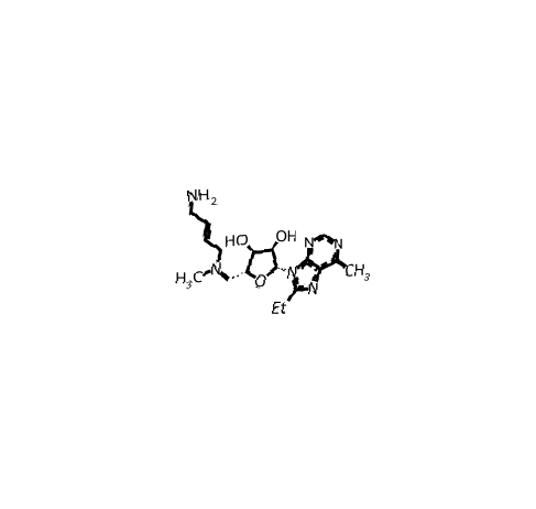 CCc1nc2c(C)ncnc2n1[C@@H]1O[C@H](CN(C)C/C=C/CN)[C@@H](O)[C@H]1O